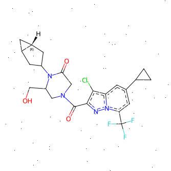 O=C(c1nn2c(C(F)(F)F)cc(C3CC3)cc2c1Cl)N1CC(=O)N(C2CC3C[C@@H]3C2)C(CO)C1